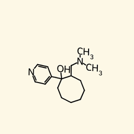 CN(C)CC1CCCCCCC1(O)c1ccncc1